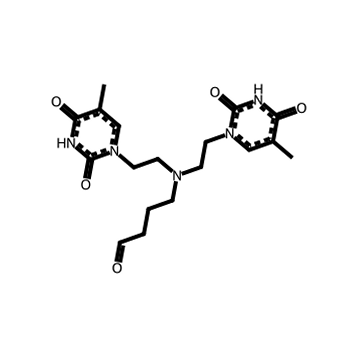 Cc1cn(CCN(CCCC=O)CCn2cc(C)c(=O)[nH]c2=O)c(=O)[nH]c1=O